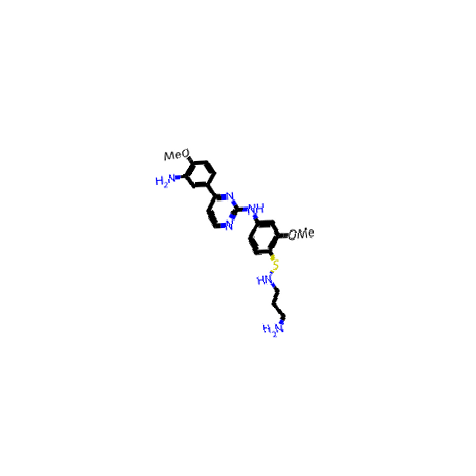 COc1ccc(-c2ccnc(Nc3ccc(SNCCCN)c(OC)c3)n2)cc1N